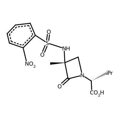 CC(C)[C@H](C(=O)O)N1C[C@@](C)(NS(=O)(=O)c2ccccc2[N+](=O)[O-])C1=O